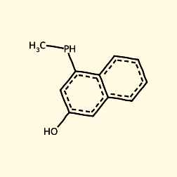 CPc1cc(O)cc2ccccc12